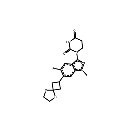 Cn1nc(N2CCC(=O)NC2=O)c2cc(F)c(C3CC4(C3)OCCO4)cc21